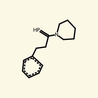 P=C(CCc1ccccc1)N1CCCCC1